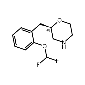 FC(F)Oc1ccccc1C[C@@H]1CNCCO1